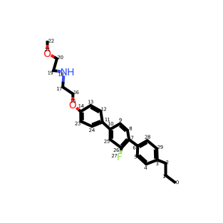 CCCc1ccc(-c2ccc(-c3ccc(OCCNCCOC)cc3)cc2F)cc1